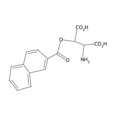 NC(C(=O)O)C(OC(=O)c1ccc2ccccc2c1)C(=O)O